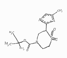 Cc1cnc(C2CN(C(=O)OC(C)(C)C)CCS2(=O)=O)s1